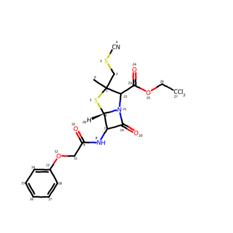 CC1(CSC#N)S[C@H]2C(NC(=O)COc3ccccc3)C(=O)N2C1C(=O)OCC(Cl)(Cl)Cl